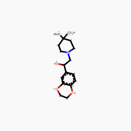 COC1(C(=O)O)CCN(CC(O)c2ccc3c(c2)OCCO3)CC1